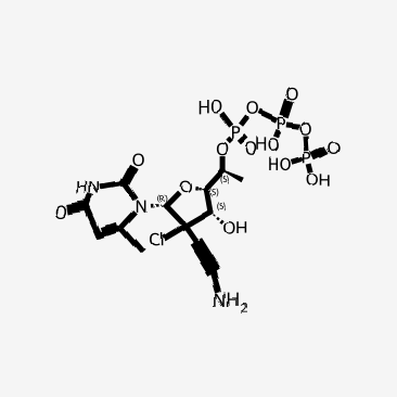 Cc1cc(=O)[nH]c(=O)n1[C@@H]1O[C@H]([C@H](C)OP(=O)(O)OP(=O)(O)OP(=O)(O)O)[C@H](O)C1(Cl)C#CN